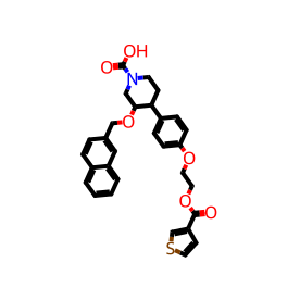 O=C(OCCOc1ccc(C2CCN(C(=O)O)CC2OCc2ccc3ccccc3c2)cc1)c1ccsc1